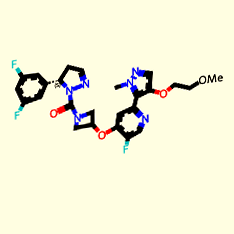 COCCOc1cnn(C)c1-c1cc(OC2CN(C(=O)N3N=CC[C@H]3c3cc(F)cc(F)c3)C2)c(F)cn1